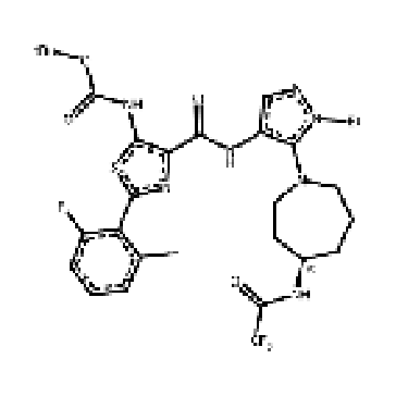 CCn1ncc(NC(=O)c2nc(-c3c(F)cccc3F)sc2NC(=O)OC(C)(C)C)c1N1CCC[C@@H](NC(=O)C(F)(F)F)CC1